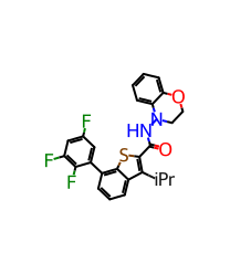 CC(C)c1c(C(=O)NN2CCOc3ccccc32)sc2c(-c3cc(F)cc(F)c3F)cccc12